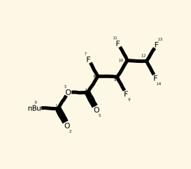 CCCCC(=O)OC(=O)C(F)C(F)C(F)C(F)F